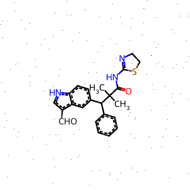 CC(C)(C(=O)NC1=NCCS1)C(c1ccccc1)c1ccc2[nH]cc(C=O)c2c1